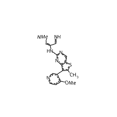 CN/C=C(\C=N)Nc1ncc2sc(C)c(-c3cnccc3OC)c2n1